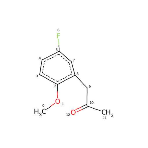 COc1ccc(F)cc1CC(C)=O